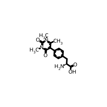 Cc1c(-c2ccc(C[C@H](N)C(=O)O)cc2)c(=O)n(C)c(=O)n1C